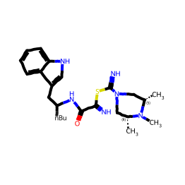 CCCCC(Cc1c[nH]c2ccccc12)NC(=O)C(=N)SC(=N)N1C[C@@H](C)N(C)[C@@H](C)C1